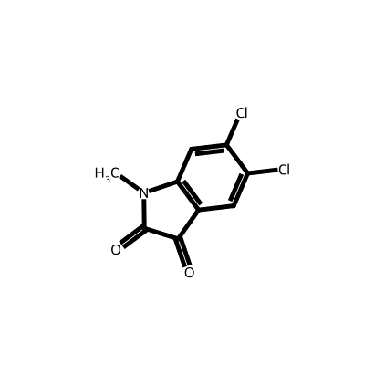 CN1C(=O)C(=O)c2cc(Cl)c(Cl)cc21